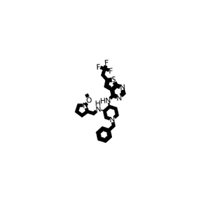 CON1CCCC1CN[C@H]1CN(Cc2ccccc2)CC[C@@H]1Nc1ncnc2sc(CC(F)(F)F)cc12